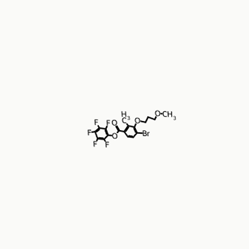 COCCCOc1c(Br)ccc(C(=O)Oc2c(F)c(F)c(F)c(F)c2F)c1C